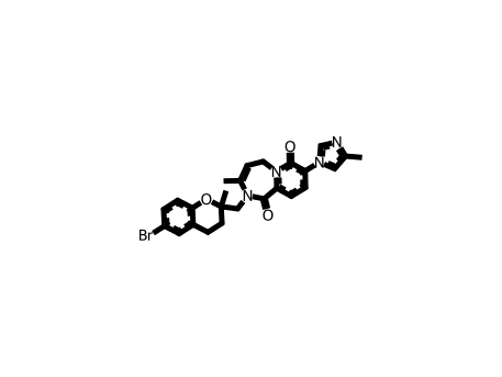 CC1=CCn2c(ccc(-n3cnc(C)c3)c2=O)C(=O)N1CC1(C)CCc2cc(Br)ccc2O1